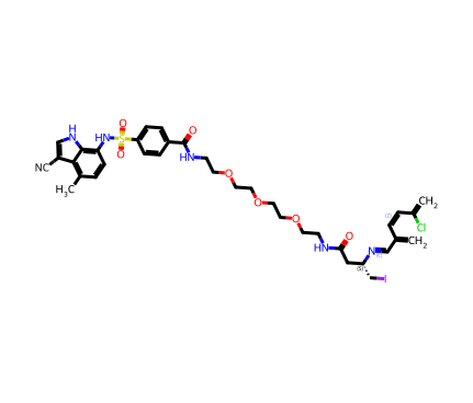 C=C(Cl)/C=C\C(=C)/C=N/[C@H](CI)CC(=O)NCCOCCOCCOCCNC(=O)c1ccc(S(=O)(=O)Nc2ccc(C)c3c(C#N)c[nH]c23)cc1